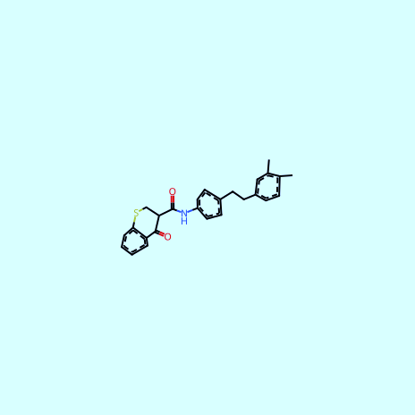 Cc1ccc(CCc2ccc(NC(=O)C3CSc4ccccc4C3=O)cc2)cc1C